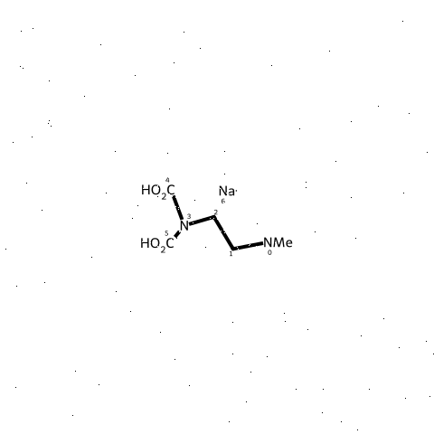 CNCCN(C(=O)O)C(=O)O.[Na]